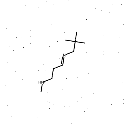 CNCCC=NCC(C)(C)C